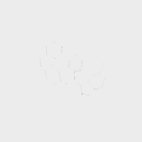 CN(Cc1ccc(N/C(=C2\C(=O)Nc3ccc([N+](=O)[O-])cc32)c2ccccc2)cc1)C1CCCCC1